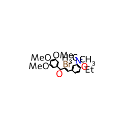 CCOc1ccc(C=C(Br)C(=O)c2cc(OC)c(OC)c(OC)c2)cc1N(C)C